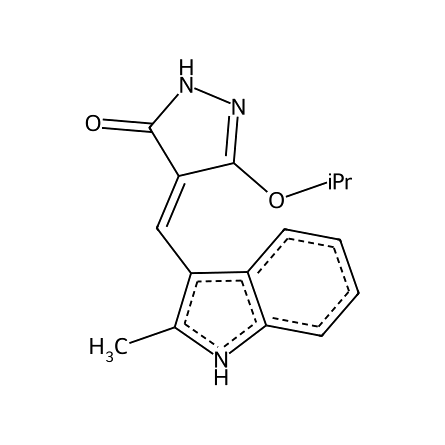 Cc1[nH]c2ccccc2c1C=C1C(=O)NN=C1OC(C)C